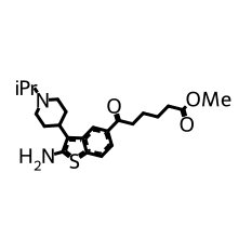 COC(=O)CCCCC(=O)c1ccc2sc(N)c(C3CCN(C(C)C)CC3)c2c1